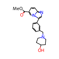 COC(=O)c1ccc2ncc(-c3cccc(CN4CCC(O)CC4)c3)n2c1